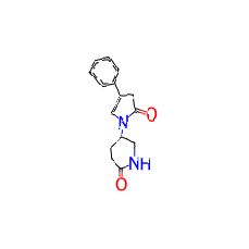 O=C1CCC(N2C=C(c3ccccc3)CC2=O)CN1